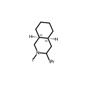 CC(C)C1C[C@@H]2CCCC[C@@H]2CN1I